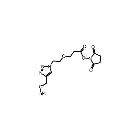 CCCOCc1cn(CCOCCC(=O)ON2C(=O)CCC2=O)nn1